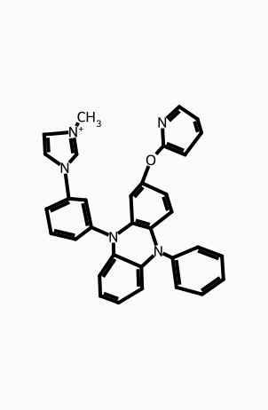 C[n+]1ccn(-c2cccc(N3c4ccccc4N(c4ccccc4)c4ccc(Oc5ccccn5)cc43)c2)c1